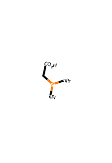 CCCP(CCC)CC(=O)O